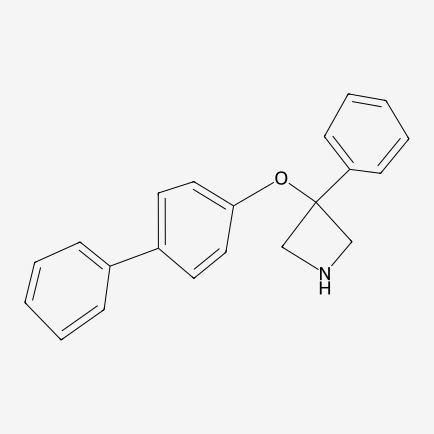 c1ccc(-c2ccc(OC3(c4ccccc4)CNC3)cc2)cc1